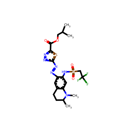 CC(C)COC(=O)c1nnc(N=Nc2cc3c(cc2NS(=O)(=O)CC(F)(F)F)N(C)C(C)CC3)s1